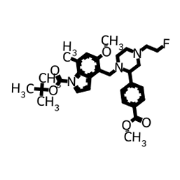 COC(=O)c1ccc(C2CN(CCF)CCN2Cc2c(OC)cc(C)c3c2ccn3C(=O)OC(C)(C)C)cc1